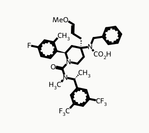 COC=CC[C@]1(N(Cc2ccccc2)C(=O)O)CCN(C(=O)N(C)[C@H](C)c2cc(C(F)(F)F)cc(C(F)(F)F)c2)[C@@H](c2ccc(F)cc2C)C1